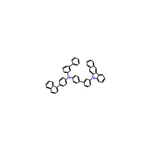 c1ccc(-c2cccc(N(c3ccc(-c4cccc(-n5c6ccccc6c6cc7ccccc7cc65)c4)cc3)c3ccc(-c4cccc5ccccc45)cc3)c2)cc1